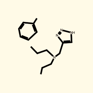 CCCN(CCC)Cc1c[nH]nn1.Cc1ccccc1